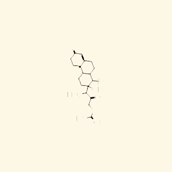 C=C(S)SCC(=O)C(C)C1(C)CCC2C(CCC3=CC(=O)CCC32C)C1CC